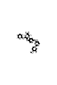 CO[C@H]1CCN(c2nccc(Nc3cc4c(cn3)nc([C@@H](C)OC3CCCCO3)n4[C@@H](C)C(F)(F)F)n2)C[C@H]1F